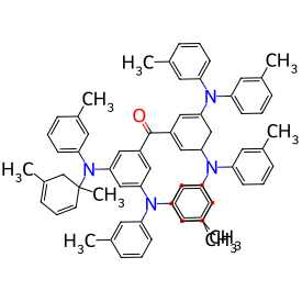 CC1=CC=CC(C)(N(c2cccc(C)c2)c2cc(C(=O)C3=CC(N(c4cccc(C)c4)c4cccc(C)c4)CC(N(c4cccc(C)c4)c4cccc(C)c4)=C3)cc(N(c3cccc(C)c3)c3cccc(C)c3)c2)C1